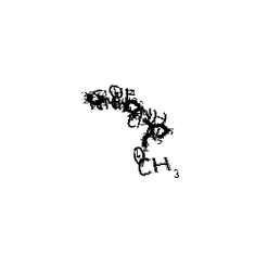 COCCN1CCCC1CNc1cc(F)c([S+]([O-])Nc2nccs2)cc1Cl